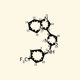 FC(F)(F)c1ccc(Nc2nc(-c3cnc4ccccn34)cs2)cc1